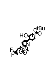 CN1c2nc(C3CCN(C(=O)OC(C)(C)C)CC3O)ccc2N(CC2CC2(F)F)S1(=O)=O